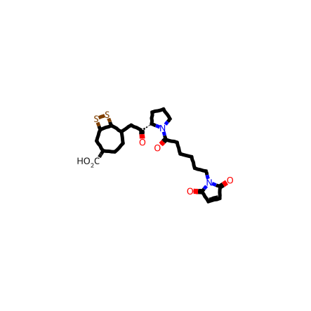 O=C(O)C1CCC(CC(=O)[C@@H]2CCCN2C(=O)CCCCCN2C(=O)C=CC2=O)C2SSC2C1